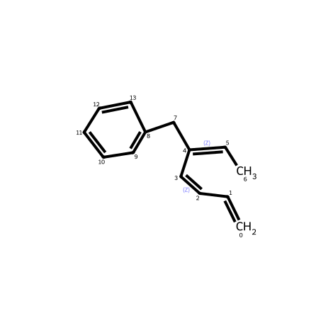 C=C/C=C\C(=C/C)Cc1ccccc1